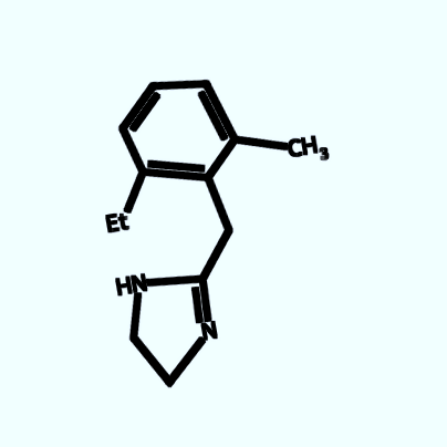 CCc1cccc(C)c1CC1=NCCN1